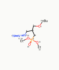 CCCCOCC(CN=[N+]=[N-])CP(=O)(OCC)OCC